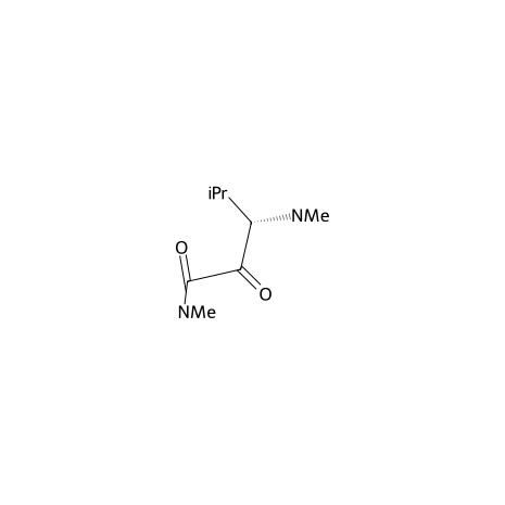 CNC(=O)C(=O)[C@@H](NC)C(C)C